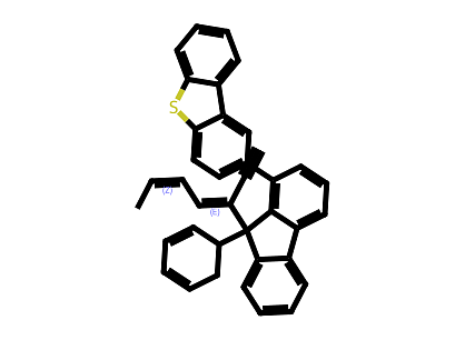 C#C/C(=C\C=C/C)C1(C2C=CC=CC2)c2ccccc2-c2cccc(-c3ccc4sc5ccccc5c4c3)c21